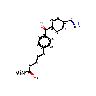 CNC(=O)CCCCc1ccc(C(=O)C2CCC(CN)CC2)cc1